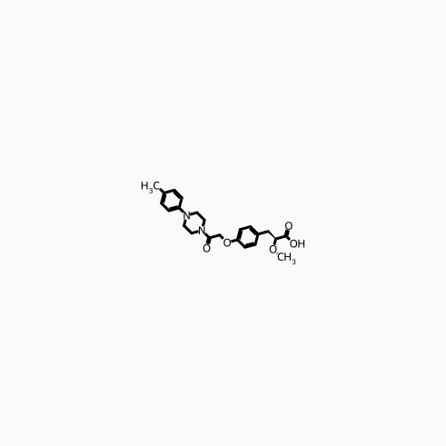 CO[C@@H](Cc1ccc(OCC(=O)N2CCN(c3ccc(C)cc3)CC2)cc1)C(=O)O